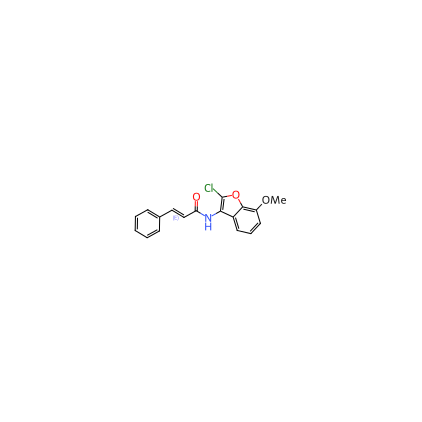 COc1cccc2c(NC(=O)/C=C/c3ccccc3)c(Cl)oc12